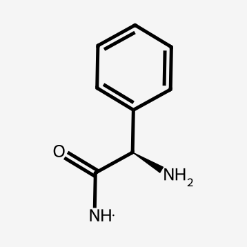 [NH]C(=O)[C@H](N)c1ccccc1